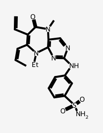 C=CC1=C(/C=C\C)N(CC)c2nc(Nc3cccc(S(N)(=O)=O)c3)ncc2N(C)C1=O